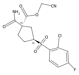 N#CCOC(=O)[C@@]1(C(N)=O)CC[C@H](S(=O)(=O)c2ccc(F)cc2Cl)C1